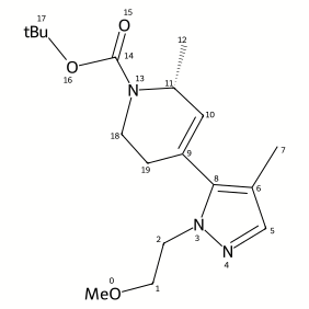 COCCn1ncc(C)c1C1=C[C@@H](C)N(C(=O)OC(C)(C)C)CC1